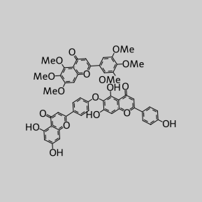 COc1cc(-c2cc(=O)c3c(OC)c(OC)c(OC)cc3o2)cc(OC)c1OC.O=c1cc(-c2ccc(Oc3c(O)cc4oc(-c5ccc(O)cc5)cc(=O)c4c3O)cc2)oc2cc(O)cc(O)c12